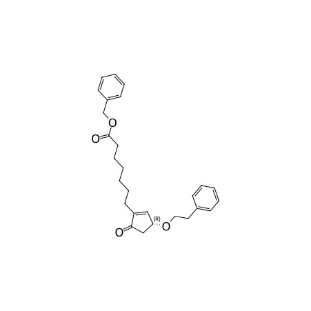 O=C(CCCCCCC1=C[C@H](OCCc2ccccc2)CC1=O)OCc1ccccc1